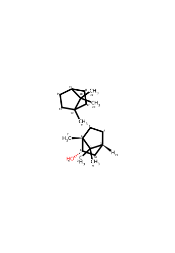 CC1(C)[C@@H]2CC[C@@]1(C)[C@@H](O)C2.CC12CCC(CC1)C2(C)C